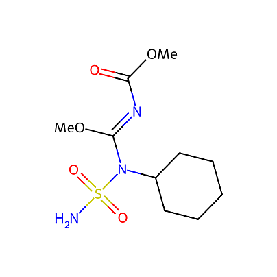 COC(=O)N=C(OC)N(C1CCCCC1)S(N)(=O)=O